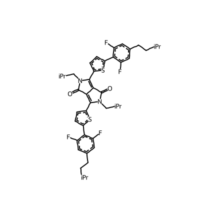 CC(C)CCc1cc(F)c(-c2ccc(C3=C4C(=O)N(CC(C)C)C(c5ccc(-c6c(F)cc(CCC(C)C)cc6F)s5)=C4C(=O)N3CC(C)C)s2)c(F)c1